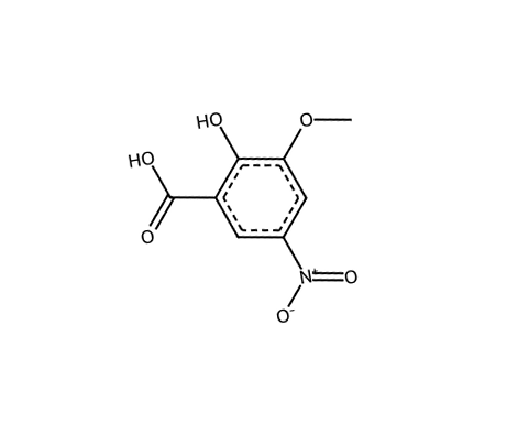 COc1cc([N+](=O)[O-])cc(C(=O)O)c1O